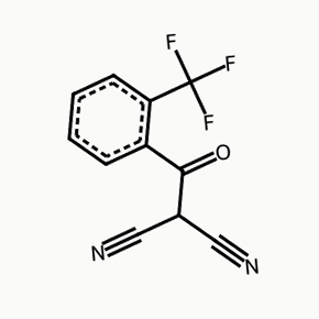 N#CC(C#N)C(=O)c1ccccc1C(F)(F)F